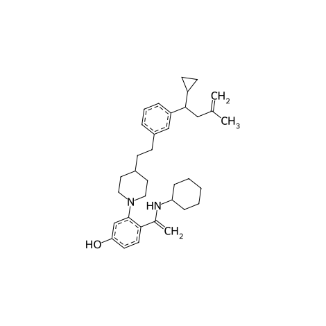 C=C(C)CC(c1cccc(CCC2CCN(c3cc(O)ccc3C(=C)NC3CCCCC3)CC2)c1)C1CC1